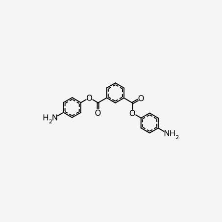 Nc1ccc(OC(=O)c2cccc(C(=O)Oc3ccc(N)cc3)c2)cc1